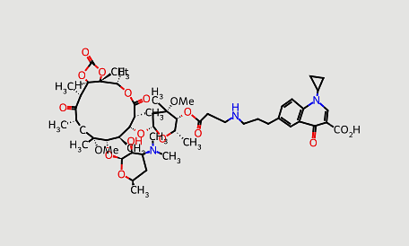 CC[C@@H]1OC(=O)[C@H](C)[C@H](O[C@@H]2C[C@](C)(OC)[C@H](OC(=O)CCNCCCc3ccc4c(c3)c(=O)c(C(=O)O)cn4C3CC3)[C@H](C)O2)[C@@H](C)[C@H](O[C@@H]2O[C@H](C)C[C@H](N(C)C)[C@@H]2O)[C@](C)(OC)C[C@H](C)C(=O)[C@H](C)[C@H]2OC(=O)O[C@]12C